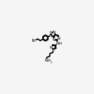 NCCCCn1cc(Nc2ncc3nnn(-c4ccc(CCBr)cc4)c3n2)cn1